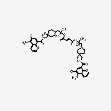 CC(C)(CN1CCC(F)(CNC(=O)c2cc(Cl)c(N)c3cccnc23)CC1)OC(=O)/C=C/C(=O)OC(C)(C)CN1CCC(F)(CNC(=O)c2cc(Cl)c(N)c3cccnc23)CC1